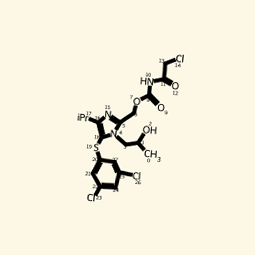 CC(O)Cn1c(COC(=O)NC(=O)CCl)nc(C(C)C)c1Sc1cc(Cl)cc(Cl)c1